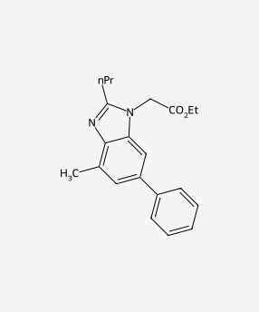 CCCc1nc2c(C)cc(-c3ccccc3)cc2n1CC(=O)OCC